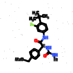 CCNC(=O)N[C@@H](C(=O)Nc1ccc([Si](C)(C)C)c(F)c1)c1ccc(COC)cc1